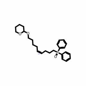 O=P(CCC/C=C\CCCCOC1CCCCO1)(c1ccccc1)c1ccccc1